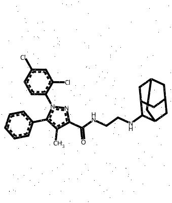 Cc1c(C(=O)NCCNC2C3CC4CC(C3)CC2C4)nn(-c2ccc(Cl)cc2Cl)c1-c1ccccc1